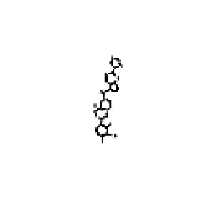 N#Cc1c(F)ccc([C@H]2CN3CCN(C(=O)C4CCc5nc(-n6cnnn6)ncc54)C[C@@H]3CO2)c1Cl